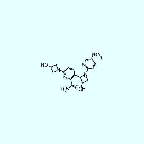 NC(=O)c1nc(N2CC(O)C2)ccc1C1C(O)CN1c1ccc([N+](=O)[O-])cn1